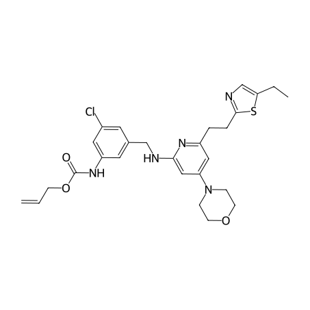 C=CCOC(=O)Nc1cc(Cl)cc(CNc2cc(N3CCOCC3)cc(CCc3ncc(CC)s3)n2)c1